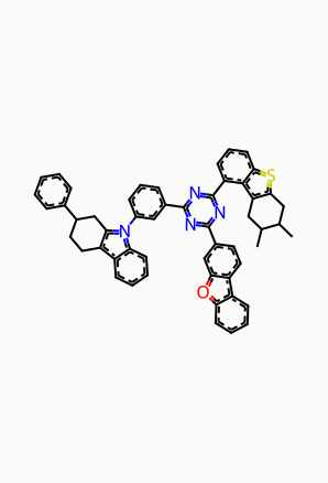 CC1Cc2sc3cccc(-c4nc(-c5cccc(-n6c7c(c8ccccc86)CCC(c6ccccc6)C7)c5)nc(-c5ccc6c(c5)oc5ccccc56)n4)c3c2CC1C